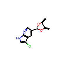 C=C1OB(c2cnc3[nH]cc(Cl)c3c2)OC1=C